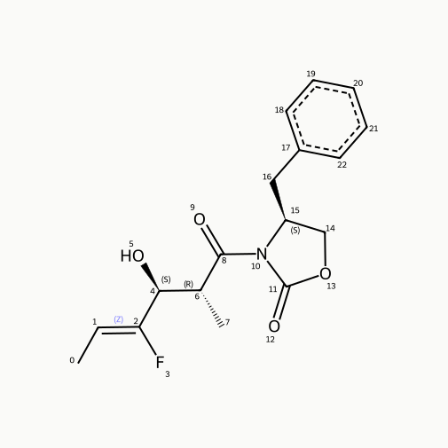 C/C=C(\F)[C@@H](O)[C@@H](C)C(=O)N1C(=O)OC[C@@H]1Cc1ccccc1